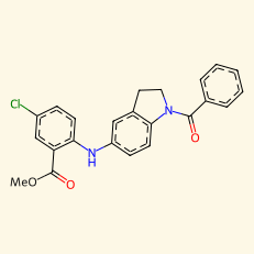 COC(=O)c1cc(Cl)ccc1Nc1ccc2c(c1)CCN2C(=O)c1ccccc1